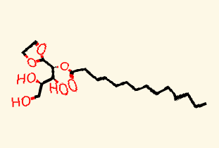 CCCCCCCCCCCCCC(=O)O[C@@H](C1OCCO1)[C@@H](O)[C@H](O)CO